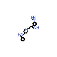 C[C@H](NCC1CCN(CCCc2c[nH]c3ccc(-n4cnnc4)cc23)CC1)c1ccccc1